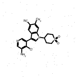 Cc1cc2c(cc1C#N)c(-c1cncc(N)c1Cl)cn2C1CCS(=O)(=O)CC1